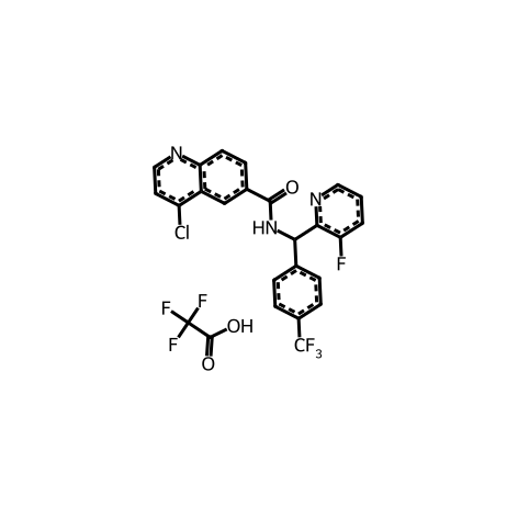 O=C(NC(c1ccc(C(F)(F)F)cc1)c1ncccc1F)c1ccc2nccc(Cl)c2c1.O=C(O)C(F)(F)F